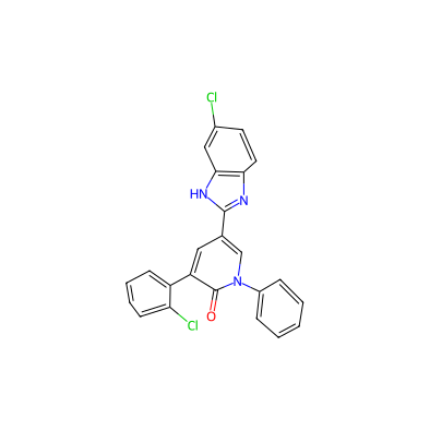 O=c1c(-c2ccccc2Cl)cc(-c2nc3ccc(Cl)cc3[nH]2)cn1-c1ccccc1